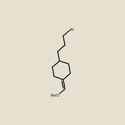 COC=C1CCC(CCCC(C)C)CC1